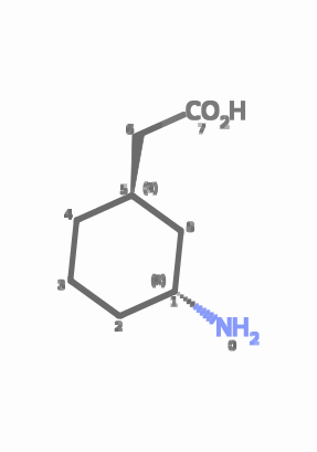 N[C@@H]1CCC[C@@H](CC(=O)O)C1